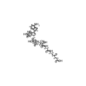 CC(C)(COP(=O)(O)OP(=O)(O)OC[C@H]1O[C@@H](n2cnc3c(N)ncnc32)[C@H](O)[C@@H]1OP(=O)(O)O)[C@@H](O)C(=O)NCCC(=O)NCCSC(=O)/C=C/C(=O)O